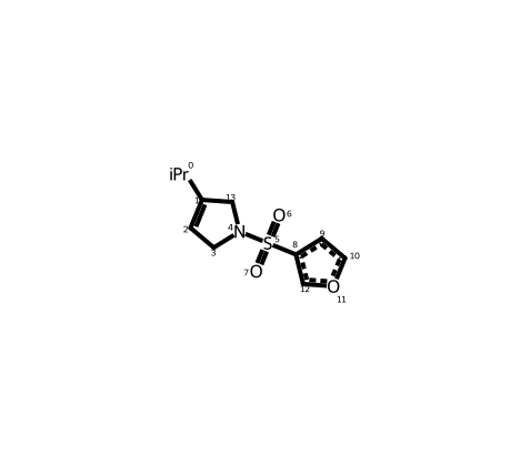 CC(C)C1=CCN(S(=O)(=O)c2ccoc2)C1